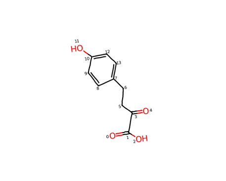 O=C(O)C(=O)CCc1ccc(O)cc1